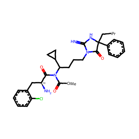 COC(=O)N(C(=O)[C@@H](N)Cc1ccccc1Cl)C(CCCN1C(=N)NC(CC(C)C)(c2ccccc2)C1=O)C1CC1